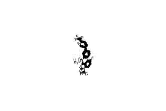 CN(c1cccc(-c2ccc(C(F)(F)F)nc2)c1)c1nc2nnc(Cl)n2c2ccc(F)cc12